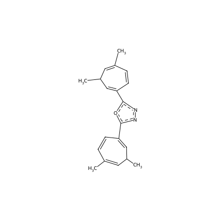 CC1=CC(C)C=C(c2nnc(C3=CC(C)C=C(C)C=C3)o2)C=C1